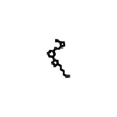 CCN1CC[C@H]1COc1cncc(-n2cc(CCCCO)nn2)c1